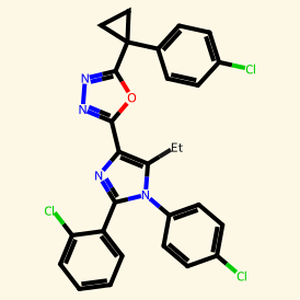 CCc1c(-c2nnc(C3(c4ccc(Cl)cc4)CC3)o2)nc(-c2ccccc2Cl)n1-c1ccc(Cl)cc1